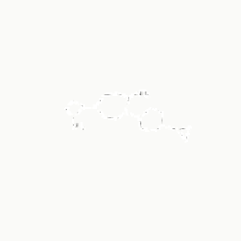 NC1CCC1C1CCC(N)C(C2CCC(C3CC3)CC2)CC1